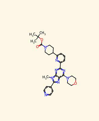 Cn1c(-c2ccncc2)nc2c(N3CCOCC3)nc(-c3cccc(C4CCN(C(=O)OC(C)(C)C)CC4)n3)nc21